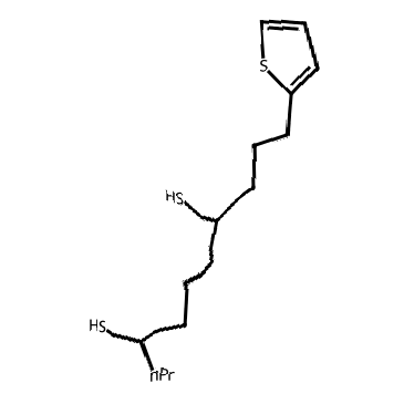 CCCC(S)CCCC(S)CCCc1cccs1